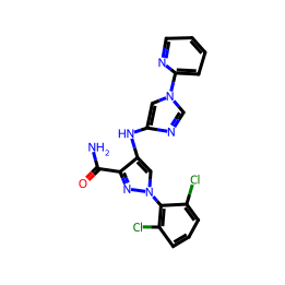 NC(=O)c1nn(-c2c(Cl)cccc2Cl)cc1Nc1cn(-c2ccccn2)cn1